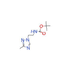 Cc1ncn(CCNC(=O)OC(C)(C)C)n1